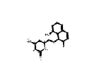 CC1C=CC2=CCCC(O)C2C1CCC1CC(O)CC(=O)O1